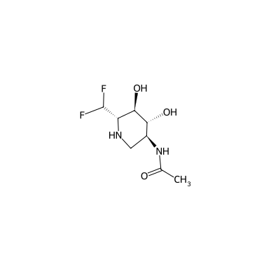 CC(=O)N[C@H]1CN[C@H](C(F)F)[C@@H](O)[C@@H]1O